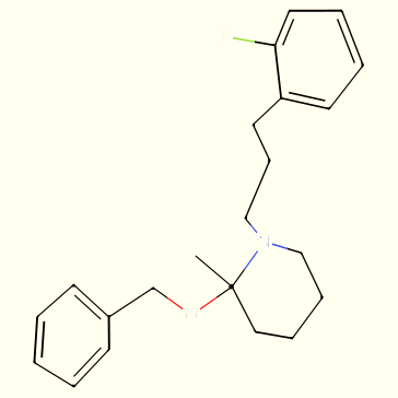 CC1(OCc2ccccc2)CCCCN1CCCc1ccccc1F